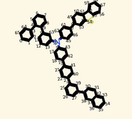 c1ccc(-c2ccccc2-c2cccc(N(c3ccc(-c4ccc(-c5cccc(-c6ccc7ccccc7c6)c5)cc4)cc3)c3ccc(-c4ccc5c(c4)sc4ccccc45)cc3)c2)cc1